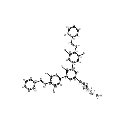 Br.Br.Br.Br.Cc1cc(-c2cc(Br)cc(-c3cc(C)c(N=Cc4ccccn4)c(C)c3)c2C)cc(C)c1N=Cc1ccccn1.[Ni].[Ni]